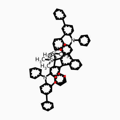 C[Si](C)(C)C1([Si](C)(C)C)c2cc(N(c3ccccc3)c3ccc(-c4ccccc4)cc3-c3ccccc3)c3ccccc3c2-c2c1c1ccc(N(c3ccccc3)c3ccc(-c4ccccc4)cc3-c3ccccc3)cc1c1ccccc21